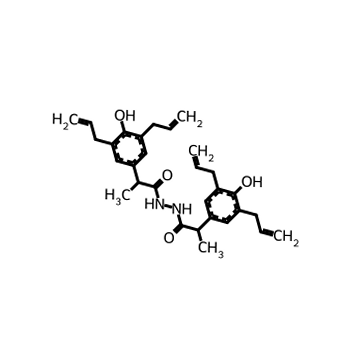 C=CCc1cc(C(C)C(=O)NNC(=O)C(C)c2cc(CC=C)c(O)c(CC=C)c2)cc(CC=C)c1O